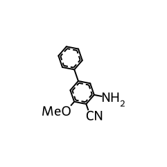 COc1cc(-c2ccccc2)cc(N)c1C#N